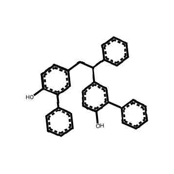 Oc1ccc(CC(c2ccccc2)c2ccc(O)c(-c3ccccc3)c2)cc1-c1ccccc1